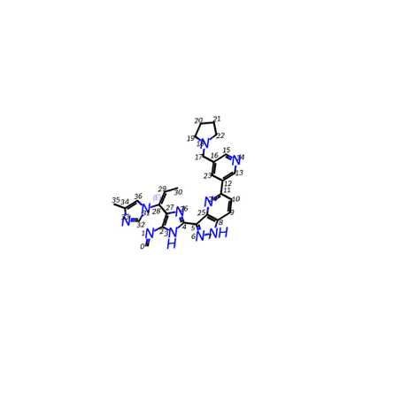 C=Nc1[nH]c(-c2n[nH]c3ccc(-c4cncc(CN5CCCC5)c4)nc23)nc1/C(=C\C)n1cnc(C)c1